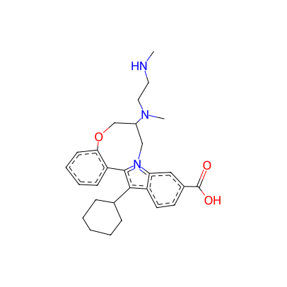 CNCCN(C)C1COc2ccccc2-c2c(C3CCCCC3)c3ccc(C(=O)O)cc3n2C1